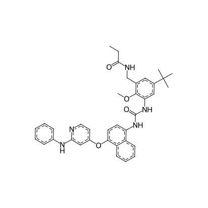 CCC(=O)NCc1cc(C(C)(C)C)cc(NC(=O)Nc2ccc(Oc3ccnc(Nc4ccccc4)c3)c3ccccc23)c1OC